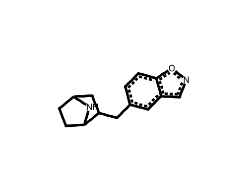 c1cc2oncc2cc1CC1CC2CCC1N2